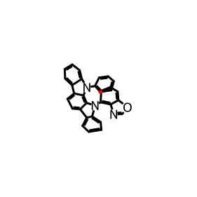 c1ccc(-n2c3ccccc3c3ccc4c5ccccc5n(-c5cccc6ocnc56)c4c32)cc1